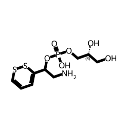 NCC(OP(=O)(O)OC[C@H](O)CO)C1=CC=CSS1